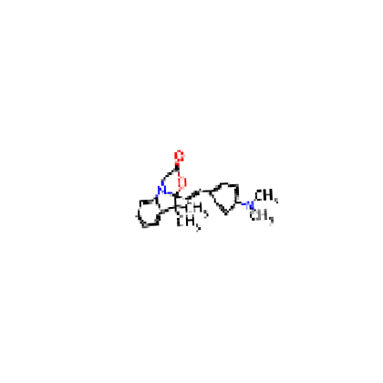 CN(C)c1ccc(/C=C/C23OC(=O)CN2c2ccccc2C3(C)C)cc1